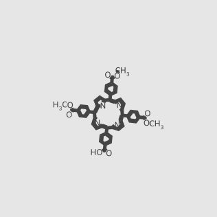 COC(=O)c1ccc(C2=C3C=CC(=N3)C(c3ccc(C(=O)OC)cc3)=C3C=CC(=N3)C(c3ccc(C(=O)OC)cc3)=C3C=CC(=N3)C(c3ccc(C(=O)O)cc3)=C3C=CC2=N3)cc1